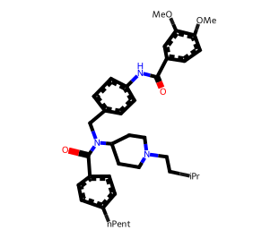 CCCCCc1ccc(C(=O)N(Cc2ccc(NC(=O)c3ccc(OC)c(OC)c3)cc2)C2CCN(CCC(C)C)CC2)cc1